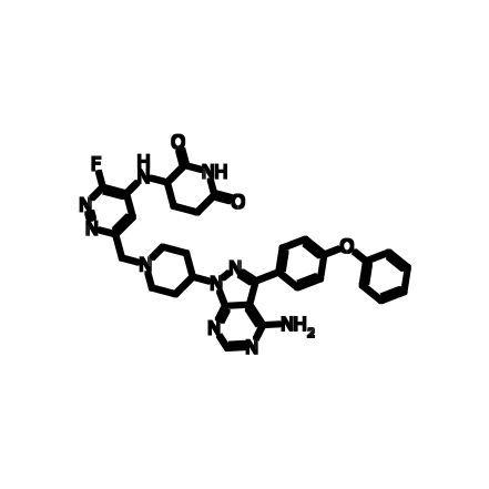 Nc1ncnc2c1c(-c1ccc(Oc3ccccc3)cc1)nn2C1CCN(Cc2cc(NC3CCC(=O)NC3=O)c(F)nn2)CC1